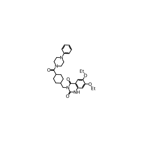 CCOc1cc2[nH]c(=O)n(CC3CCC(C(=O)N4CCN(c5ccccc5)CC4)CC3)c(=O)c2cc1OCC